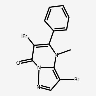 CC(C)c1c(-c2ccccc2)n(C)c2c(Br)cnn2c1=O